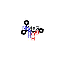 COc1ccccc1OCC(O)CNc1nc(-c2ccccc2)nc2ccccc12